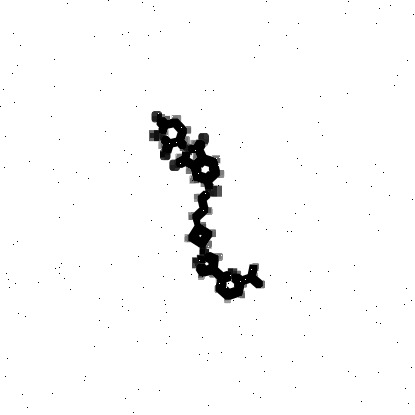 CC(C)c1cccc(-c2cnn([C@H]3C[C@H](CCCNc4ccc5c(c4)C(=O)N(C4CCC(=O)NC4=O)C5=O)C3)c2)n1